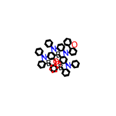 c1ccc(N2c3ccccc3B3c4ccccc4Oc4c3c2cc2c4B3c4c(cccc4N(c4cccc5oc6ccccc6c45)c4cc5c6c(c43)Oc3ccccc3B6c3ccccc3N5c3ccccc3)N2c2ccccc2)cc1